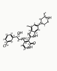 Cc1cc(N2CCN[C@H](C)C2)cc2[nH]c(-c3c(NC[C@@H](O)c4cccc(Cl)c4)cc[nH]c3=O)nc12